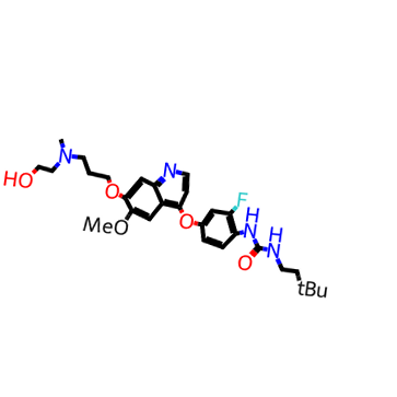 COc1cc2c(Oc3ccc(NC(=O)NCCC(C)(C)C)c(F)c3)ccnc2cc1OCCCN(C)CCO